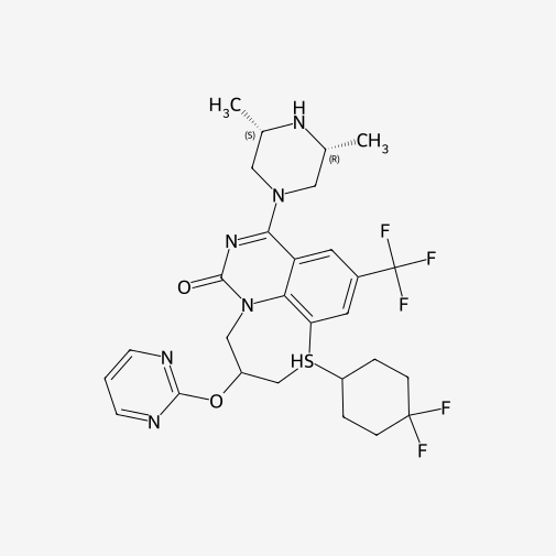 C[C@@H]1CN(c2nc(=O)n3c4c(cc(C(F)(F)F)cc24)[SH](C2CCC(F)(F)CC2)CC(Oc2ncccn2)C3)C[C@H](C)N1